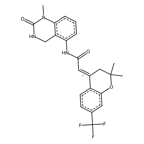 CN1C(=O)NCc2c(NC(=O)/C=C3\CC(C)(C)Oc4cc(C(F)(F)F)ccc43)cccc21